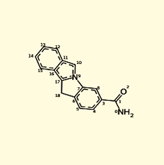 NC(=O)c1ccc2c(c1)-n1cc3ccccc3c1C2